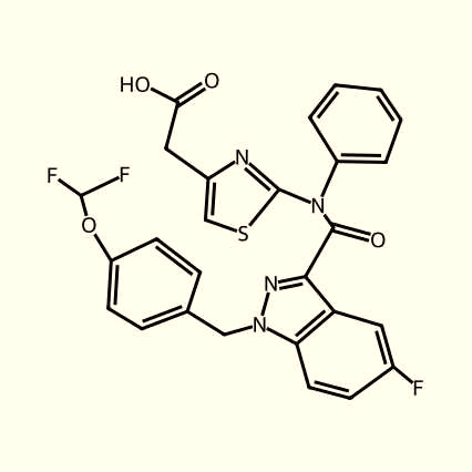 O=C(O)Cc1csc(N(C(=O)c2nn(Cc3ccc(OC(F)F)cc3)c3ccc(F)cc23)c2ccccc2)n1